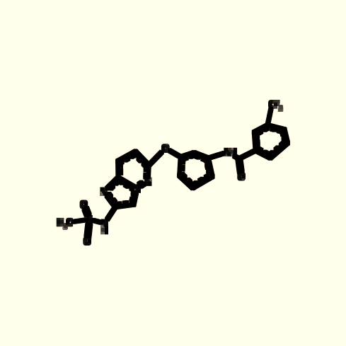 CS(=O)(=O)Nc1cn2nc(Oc3cccc(NC(=O)c4cccc(C(F)(F)F)c4)c3)ccc2n1